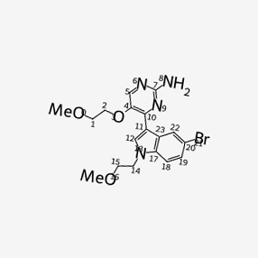 COCCOc1cnc(N)nc1-c1cn(CCOC)c2ccc(Br)cc12